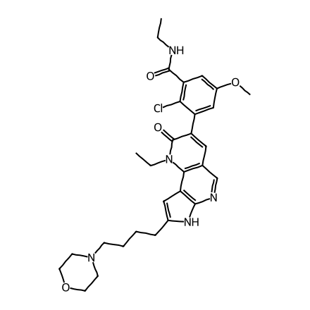 CCNC(=O)c1cc(OC)cc(-c2cc3cnc4[nH]c(CCCCN5CCOCC5)cc4c3n(CC)c2=O)c1Cl